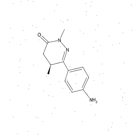 C[C@H]1CC(=O)N(C)N=C1c1ccc(N)cc1